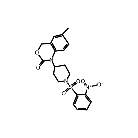 Cc1ccc2c(c1)COC(=O)N2C1CCN(S(=O)(=O)c2ccccc2[N+](=O)[O-])CC1